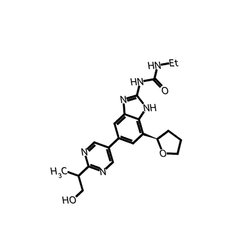 CCNC(=O)Nc1nc2cc(-c3cnc(C(C)CO)nc3)cc([C@H]3CCCO3)c2[nH]1